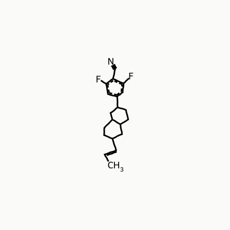 CC=CC1CCC2CC(c3cc(F)c(C#N)c(F)c3)CCC2C1